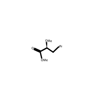 COC(=O)[C@H](CC(C)C)OC